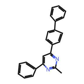 Cc1nc(-c2ccccc2)cc(-c2ccc(-c3ccccc3)cc2)n1